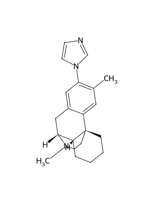 Cc1cc2c(cc1-n1ccnc1)C[C@@H]1[C@H]3CCCC[C@]23CCN1C